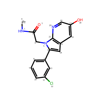 CC(C)NC(=O)Cn1c(-c2cccc(Cl)c2)cc2cc(O)cnc21